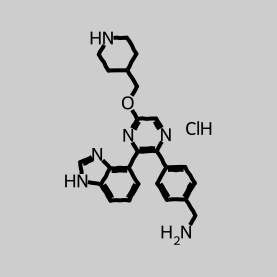 Cl.NCc1ccc(-c2ncc(OCC3CCNCC3)nc2-c2cccc3[nH]cnc23)cc1